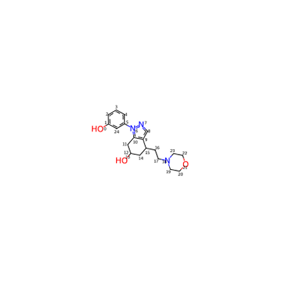 Oc1cccc(-n2ncc3c2CC(O)CC3CCN2CCOCC2)c1